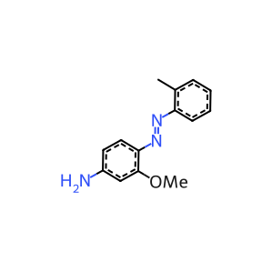 COc1cc(N)ccc1N=Nc1ccccc1C